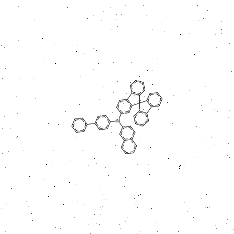 c1ccc(-c2ccc(N(c3ccc4c(c3)C3(c5ccccc5-c5ccccc53)c3ccccc3-4)c3ccc4ccccc4c3)cc2)cc1